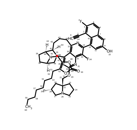 C#Cc1c(F)ccc2cc(O)cc(-c3nc4c5c(nc(OC[C@@]67CCCN6C[C@H](F)C7)nc5c3F)N3C[C@H]5CC[C@@H]([C@H]3CCC4)N5Cc3oc(=O)oc3CCCCCCCC)c12